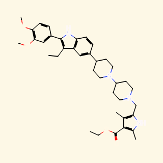 CCOC(=O)c1c(C)[nH]c(CN2CCC(N3CCC(c4ccc5[nH]c(-c6ccc(OC)c(OC)c6)c(CC)c5c4)CC3)CC2)c1C